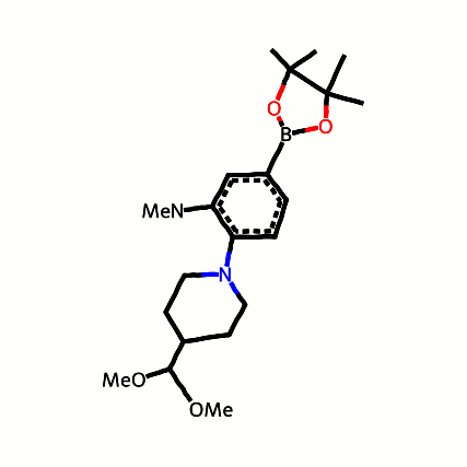 CNc1cc(B2OC(C)(C)C(C)(C)O2)ccc1N1CCC(C(OC)OC)CC1